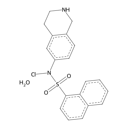 O.O=S(=O)(c1cccc2ccccc12)N(Cl)c1ccc2c(c1)CCNC2